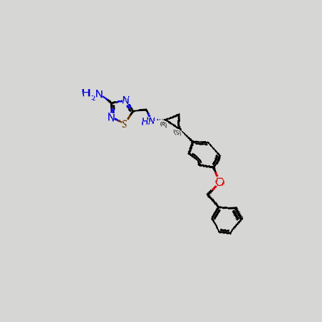 Nc1nsc(CN[C@@H]2C[C@H]2c2ccc(OCc3ccccc3)cc2)n1